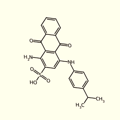 CC(C)c1ccc(Nc2cc(S(=O)(=O)O)c(N)c3c2C(=O)c2ccccc2C3=O)cc1